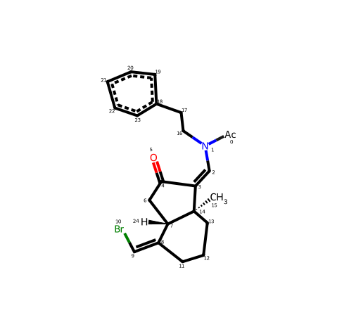 CC(=O)N(/C=C1\C(=O)C[C@H]2/C(=C\Br)CCC[C@]12C)CCc1ccccc1